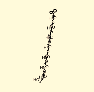 O=C(O)CNC(=O)OCCOCCNC(=O)OCCOCCNC(=O)OCCOCCNC(=O)OCCOCCNC(=O)OCCOCCNC(=O)OCCOCCNC(=O)OCC1c2ccccc2-c2ccccc21